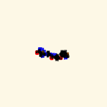 NC(=O)c1cnc(N2CC(NC(=O)[C@H]3C[C@H](Oc4cccc5scnc45)C3)C2)s1